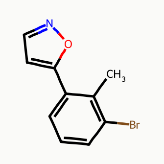 Cc1c(Br)cccc1-c1ccno1